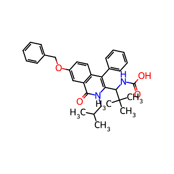 CC(C)Cn1c(C(NC(=O)O)C(C)(C)C)c(-c2ccccc2)c2ccc(OCc3ccccc3)cc2c1=O